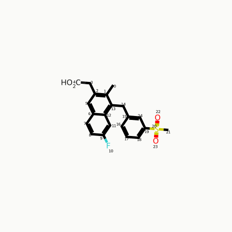 Cc1c(CC(=O)O)cc2ccc(F)cc2c1Cc1cccc(S(C)(=O)=O)c1